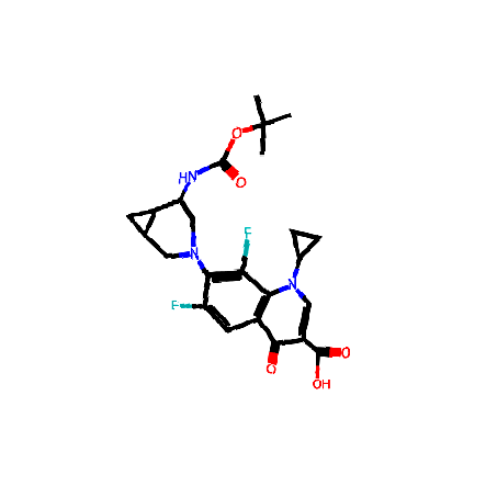 CC(C)(C)OC(=O)NC1CN(c2c(F)cc3c(=O)c(C(=O)O)cn(C4CC4)c3c2F)CC2CC21